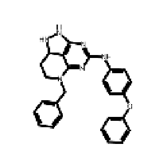 c1ccc(CN2CCC3NNc4nc(Nc5ccc(Oc6ccccc6)cc5)nc2c43)cc1